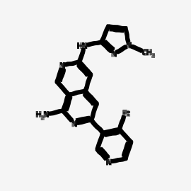 CCc1ccncc1-c1cc2cc(Nc3ccn(C)n3)ncc2c(N)n1